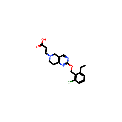 CCc1cccc(Cl)c1COc1ncc2c(n1)CCN(CCC(=O)O)C2